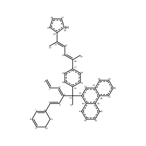 C=C/C=C(\C=CC1=CC=CCC1)C(C)(c1ccc(/C(C)=C/C=C(\C)c2ccc[nH]2)cc1)c1cc2ccccc2c2ccccc12